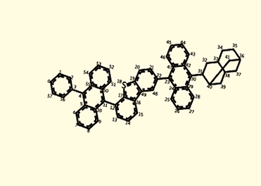 c1ccc(-c2c3ccccc3c(-c3cccc4c3sc3ccc(-c5c6ccccc6c(C6CC7CCC8CC7CC6C8)c6ccccc56)cc34)c3ccccc23)cc1